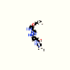 CN1CCN(C(=O)c2cc3cc(Nc4nccc(C5=CC(OCCCC(F)(F)F)=CCN5)n4)ccc3[nH]2)CC1